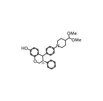 COC(OC)C1CCN(c2ccc(C3c4ccc(O)cc4OC[C@@H]3c3ccccc3)cc2)CC1